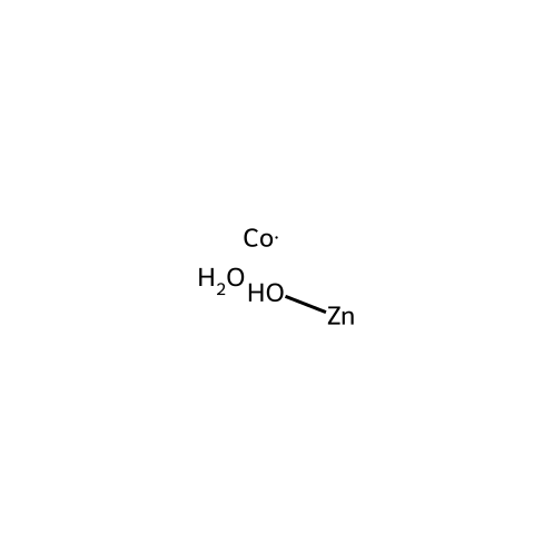 O.[Co].[OH][Zn]